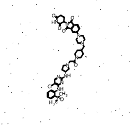 CP(C)(=O)c1ccccc1Nc1nc(N[C@@H]2CCN(CC(=O)N3CCC(CN4CCN(c5ccc6c(c5)C(=O)N(C5CCC(=O)NC5=O)C6=O)CC4)CC3)C2)ncc1Cl